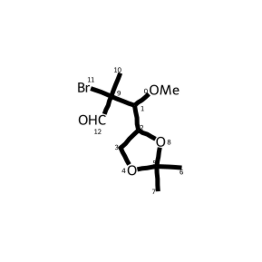 COC(C1COC(C)(C)O1)C(C)(Br)C=O